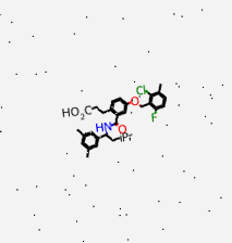 Cc1cc(C)cc(C(CC(C)C)NC(=O)c2cc(OCc3c(F)ccc(C)c3Cl)ccc2CCC(=O)O)c1